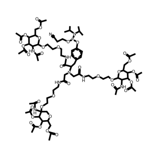 CC(=O)NC1C(OCCOCCNC(=O)CN(CC(=O)NCCOCCOC2(NC(C)=O)COC(COC(C)=O)C(OC(C)=O)C2OC(C)=O)C(Cc2ccc(OP(OCCC#N)N(C(C)C)C(C)C)cc2)C(=O)NCCOCCOC2OC(COC(C)=O)C(OC(C)=O)C(OC(C)=O)C2NC(C)=O)OC(COC(C)=O)C(OC(C)=O)C1OC(C)=O